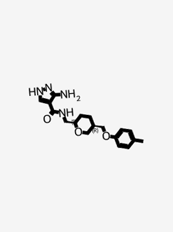 Cc1ccc(OC[C@@H]2CC[C@H](CNC(=O)c3c[nH]nc3N)OC2)cc1